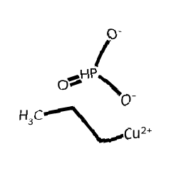 CC[CH2][Cu+2].O=[PH]([O-])[O-]